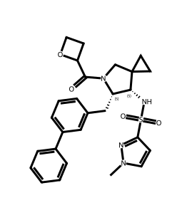 Cn1ccc(S(=O)(=O)N[C@@H]2[C@H](Cc3cccc(-c4ccccc4)c3)N(C(=O)C3CCO3)CC23CC3)n1